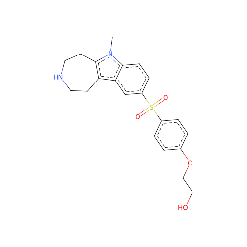 Cn1c2c(c3cc(S(=O)(=O)c4ccc(OCCO)cc4)ccc31)CCNCC2